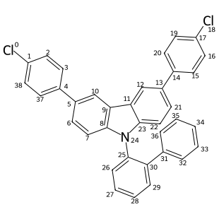 Clc1ccc(-c2ccc3c(c2)c2cc(-c4ccc(Cl)cc4)ccc2n3-c2ccccc2-c2ccccc2)cc1